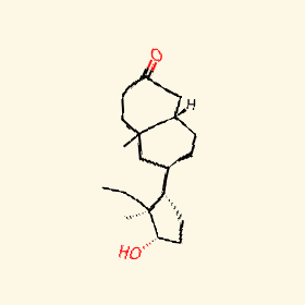 CC[C@]1(C)[C@@H](O)CC[C@H]1[C@@H]1CC[C@H]2CC(=O)CCC2(C)C1